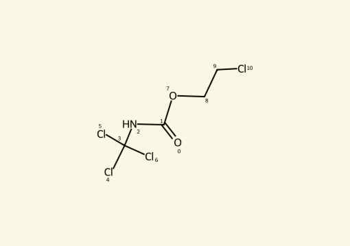 O=C(NC(Cl)(Cl)Cl)OCCCl